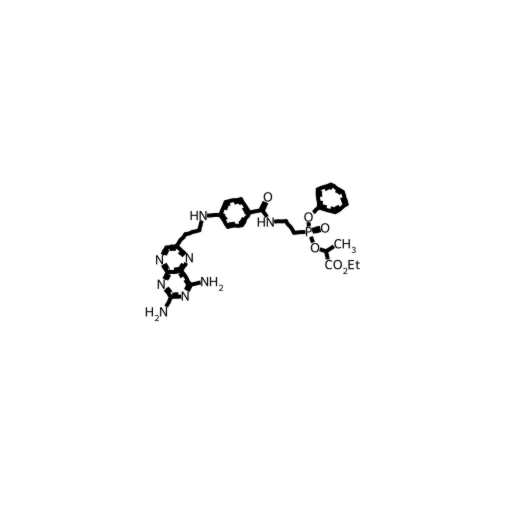 CCOC(=O)C(C)OP(=O)(CCNC(=O)c1ccc(NCCc2cnc3nc(N)nc(N)c3n2)cc1)Oc1ccccc1